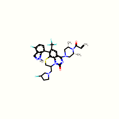 C=CC(=O)N1[C@H](C)CN(c2nc(=O)n3c4c(c(-c5ccc(F)c6cnn(C)c56)c(C(F)(F)F)cc24)SCC3CN2CCC(F)C2)C[C@@H]1C